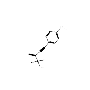 C=C(C#Cc1ccc(N)cc1)C(C)(C)O